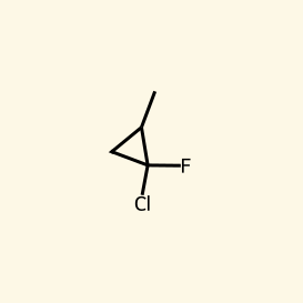 CC1CC1(F)Cl